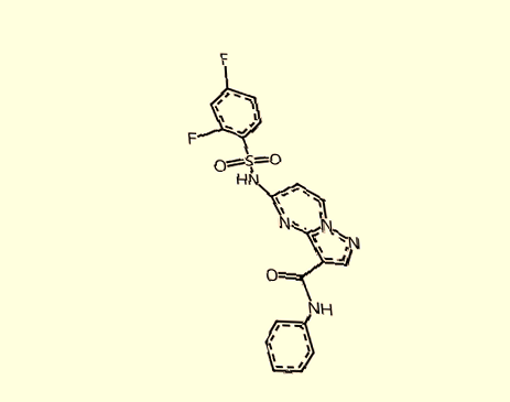 O=C(Nc1ccccc1)c1cnn2ccc(NS(=O)(=O)c3ccc(F)cc3F)nc12